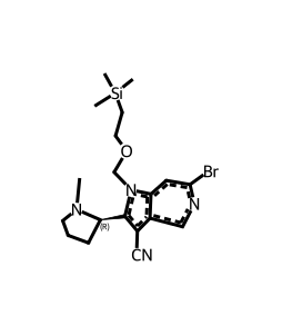 CN1CCC[C@@H]1c1c(C#N)c2cnc(Br)cc2n1COCC[Si](C)(C)C